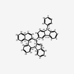 c1ccc(-n2c3ccccc3c3cc(N4c5ccc6ccccc6c5-c5ccccc5-n5c4nc4ccccc45)ccc32)cc1